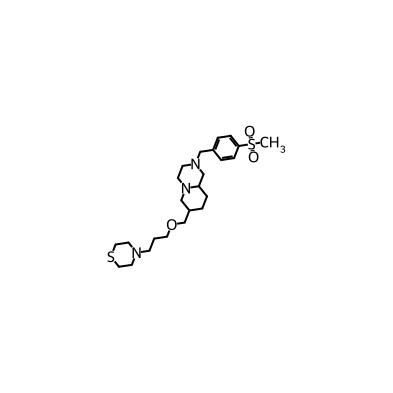 CS(=O)(=O)c1ccc(CN2CCN3CC(COCCCN4CCSCC4)CCC3C2)cc1